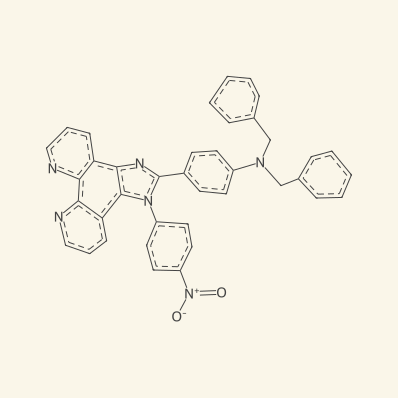 O=[N+]([O-])c1ccc(-n2c(-c3ccc(N(Cc4ccccc4)Cc4ccccc4)cc3)nc3c4cccnc4c4ncccc4c32)cc1